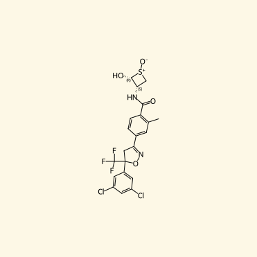 Cc1cc(C2=NOC(c3cc(Cl)cc(Cl)c3)(C(F)(F)F)C2)ccc1C(=O)N[C@H]1C[S+]([O-])[C@H]1O